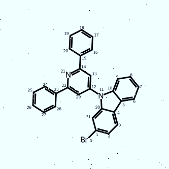 Brc1ccc2c3ccccc3n(-c3cc(-c4ccccc4)nc(-c4ccccc4)c3)c2c1